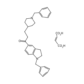 O=C(CCC1CCN(Cc2ccccc2)CC1)c1ccc2c(c1)CCN2Cc1ccccc1.O=C(O)/C=C/C(=O)O